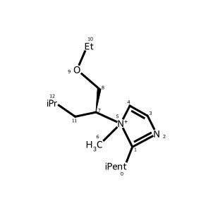 CCCC(C)C1=NC=C[N+]1(C)[C@H](COCC)CC(C)C